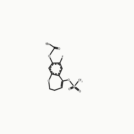 CC(C)(C)C(=O)Oc1cc2c(cc1F)C(OS(=O)(=O)C(F)(F)F)=CCCO2